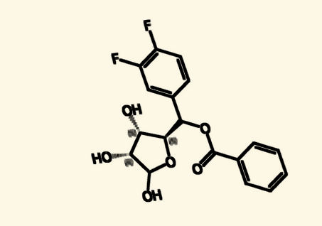 O=C(OC(c1ccc(F)c(F)c1)[C@H]1OC(O)[C@H](O)[C@@H]1O)c1ccccc1